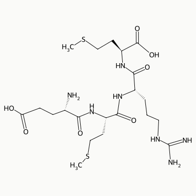 CSCC[C@H](NC(=O)[C@H](CCCNC(=N)N)NC(=O)[C@H](CCSC)NC(=O)[C@@H](N)CCC(=O)O)C(=O)O